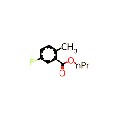 CCCOC(=O)c1cc(F)ccc1C